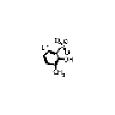 Cc1cccc(S(=O)(=O)[O-])c1O.[Li+]